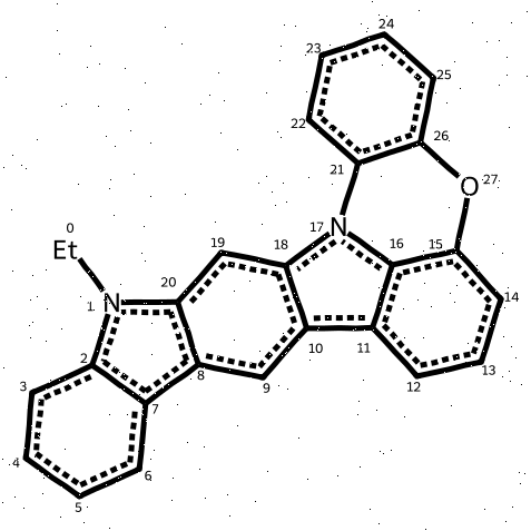 CCn1c2ccccc2c2cc3c4cccc5c4n(c3cc21)-c1ccccc1O5